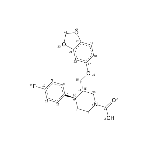 O=C(O)N1CC[C@@H](c2ccc(F)cc2)[C@H](COc2ccc3c(c2)OCO3)C1